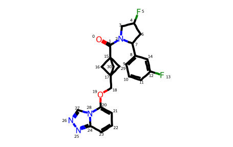 O=C(N1CC(F)CC1c1cccc(F)c1)C12CC(COc3cccc4nncn34)(C1)C2